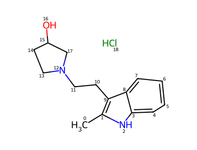 Cc1[nH]c2ccccc2c1CCN1CCC(O)C1.Cl